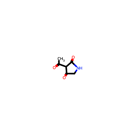 CC(=O)C1C(=O)CNC1=O